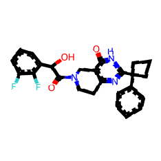 O=C(C(O)c1cccc(F)c1F)N1CCc2nc(C3(c4ccccc4)CCC3)[nH]c(=O)c2C1